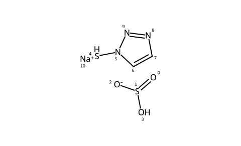 O=S([O-])O.Sn1ccnn1.[Na+]